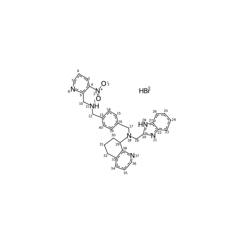 Br.O=[N+]([O-])c1cccnc1CNCc1ccc(CN(Cc2nc3ccccc3[nH]2)C2CCCc3cccnc32)cc1